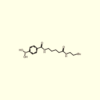 CCC(C)CCNC(=O)CCCCNC(=O)c1ccc(B(O)O)cc1